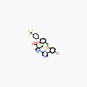 O=C(O)c1cnn(-c2cncc(-c3cc(Cl)ccc3OCc3ccc([C@H]4CC[C@@H](C(F)(F)F)CC4)cc3)n2)c1C(F)(F)F